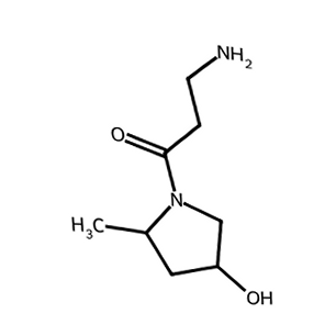 CC1CC(O)CN1C(=O)CCN